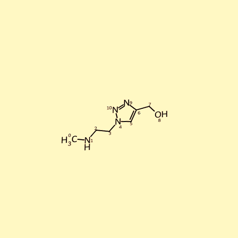 CNCCn1cc(CO)nn1